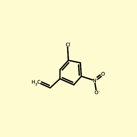 C=Cc1cc(Cl)cc([N+](=O)[O-])c1